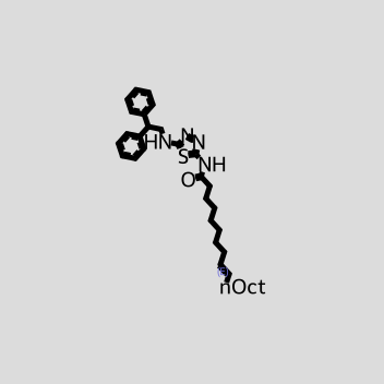 CCCCCCCC/C=C/CCCCCCCC(=O)Nc1nnc(NCC(c2ccccc2)c2ccccc2)s1